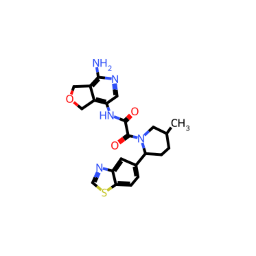 CC1CCC(c2ccc3scnc3c2)N(C(=O)C(=O)Nc2cnc(N)c3c2COC3)C1